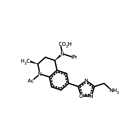 CC(=O)N1c2ccc(-c3nc(CN)no3)cc2[C@H](N(C(=O)O)C(C)C)C[C@@H]1C